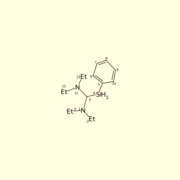 CCN(CC)C([SiH2]c1ccccc1)N(CC)CC